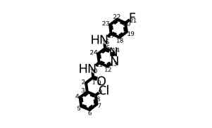 O=C(Cc1ccccc1Cl)Nc1cnnc(Nc2ccc(F)cc2)c1